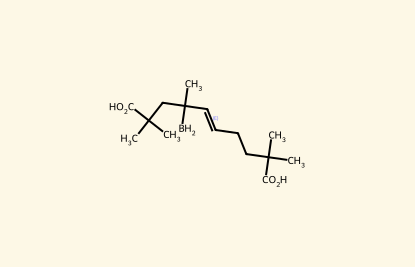 BC(C)(/C=C/CCC(C)(C)C(=O)O)CC(C)(C)C(=O)O